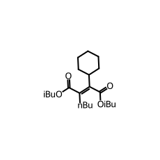 CCCCC(C(=O)OCC(C)C)=C(C(=O)OCC(C)C)C1CCCCC1